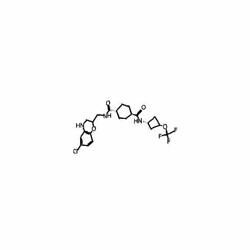 O=C(NCC1CNc2cc(Cl)ccc2O1)[C@H]1CC[C@H](C(=O)N[C@H]2C[C@@H](OC(F)(F)F)C2)CC1